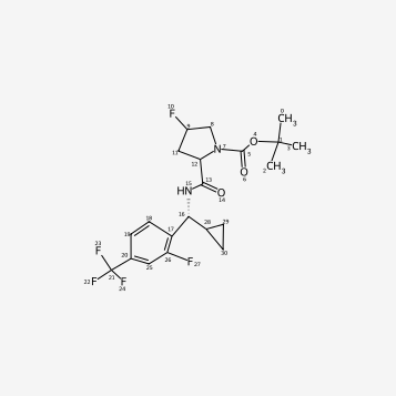 CC(C)(C)OC(=O)N1CC(F)CC1C(=O)N[C@@H](c1ccc(C(F)(F)F)cc1F)C1CC1